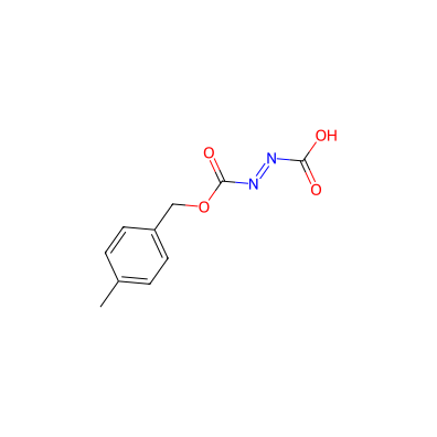 Cc1ccc(COC(=O)/N=N/C(=O)O)cc1